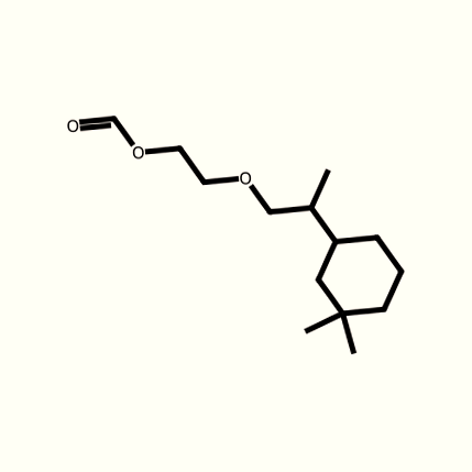 CC(COCCOC=O)C1CCCC(C)(C)C1